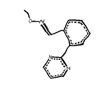 CO/N=C/c1ccccc1-c1ncccn1